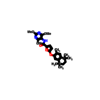 COc1nc(OC)c(NC(=O)c2ccc(Oc3cc4c(cc3C)[Si](C)(C)CC[Si]4(C)C)o2)c(OC)n1